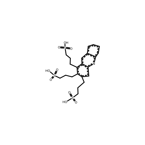 O=S(=O)(O)CCCc1cc2nc3ccccc3cc2c(CCCS(=O)(=O)O)c1CCCS(=O)(=O)O